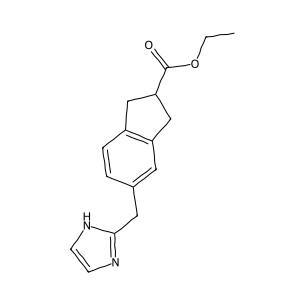 CCOC(=O)C1Cc2ccc(Cc3ncc[nH]3)cc2C1